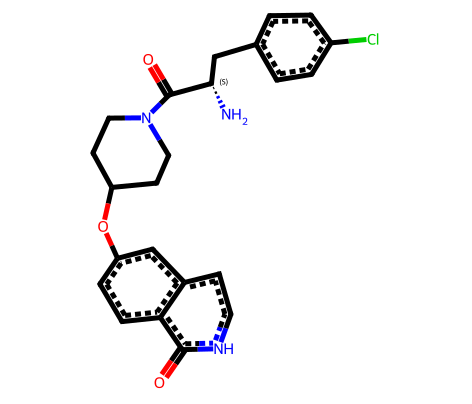 N[C@@H](Cc1ccc(Cl)cc1)C(=O)N1CCC(Oc2ccc3c(=O)[nH]ccc3c2)CC1